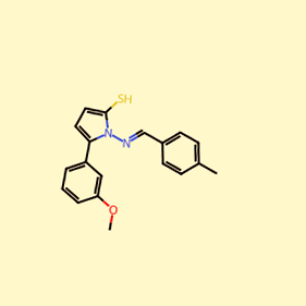 COc1cccc(-c2ccc(S)n2/N=C/c2ccc(C)cc2)c1